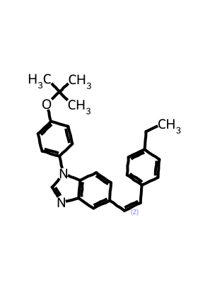 CCc1ccc(/C=C\c2ccc3c(c2)ncn3-c2ccc(OC(C)(C)C)cc2)cc1